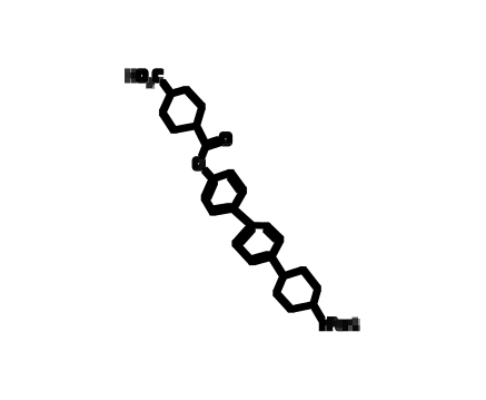 CCCCCC1CCC(c2ccc(-c3ccc(OC(=O)C4CCC(C(=O)O)CC4)cc3)cc2)CC1